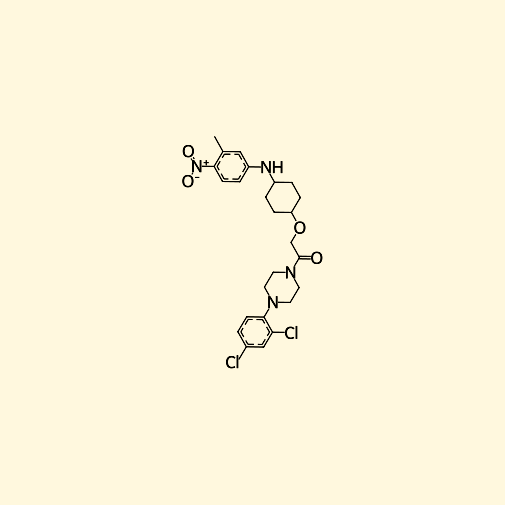 Cc1cc(NC2CCC(OCC(=O)N3CCN(c4ccc(Cl)cc4Cl)CC3)CC2)ccc1[N+](=O)[O-]